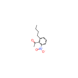 CCCCc1cccc([N+](=O)[O-])c1C(C)=O